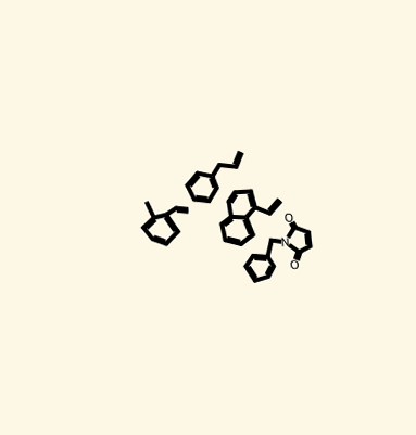 C=CCc1ccccc1.C=Cc1cccc2ccccc12.C=Cc1ccccc1C.O=C1C=CC(=O)N1Cc1ccccc1